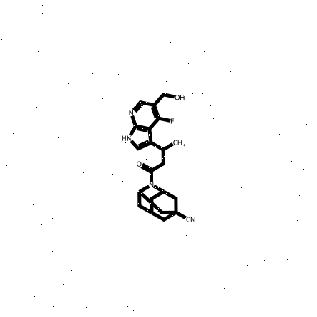 CC(CC(=O)N1C2CC3CC1CC(C#N)(C3)C2)c1c[nH]c2ncc(CO)c(F)c12